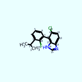 CC(C)c1cccc(-c2c(Cl)ccc3nc[nH]c23)c1F